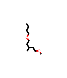 CCCCOC[CH]C(C)CCOC